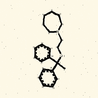 CC(OCCN1CCCCCC1)(c1ccccc1)c1ccccc1